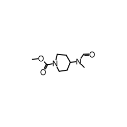 COC(=O)N1CCC(N(C)C=O)CC1